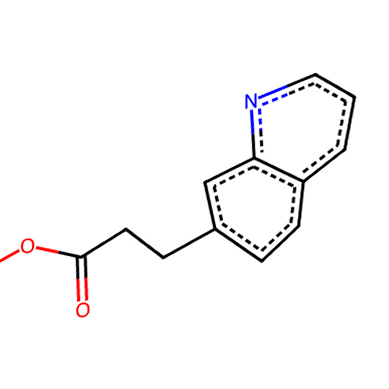 COC(=O)CCc1ccc2cccnc2c1